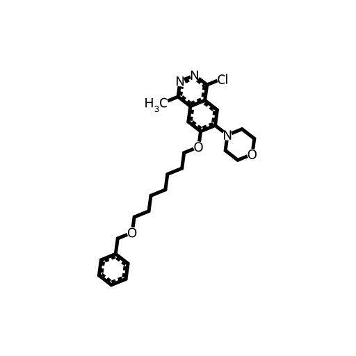 Cc1nnc(Cl)c2cc(N3CCOCC3)c(OCCCCCCCOCc3ccccc3)cc12